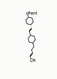 CCCCC[C@H]1CC[C@H](/C=C/C2CCC(CCC=CC#N)CC2)CC1